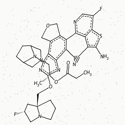 CCC(=O)O[C@H](C)CN1CC2CCC(C1)N2c1nc(OC[C@@]23CCCN2C[C@H](F)C3)nc2c(F)c(-c3ncc(F)c4sc(N)c(C#N)c34)c3c(c12)COC3